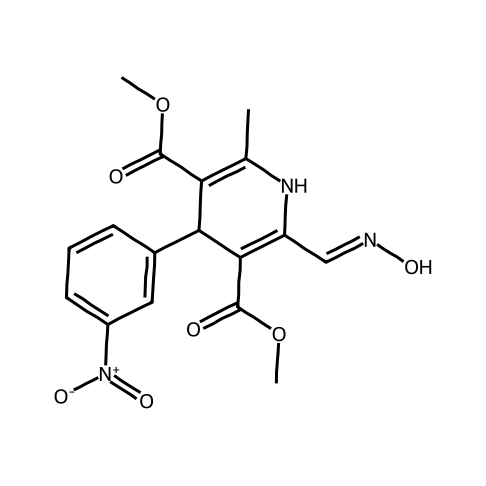 COC(=O)C1=C(C)NC(C=NO)=C(C(=O)OC)C1c1cccc([N+](=O)[O-])c1